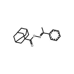 C/C(=N\OC(=O)C12CC3CC(CC(C3)C1)C2)c1ccccc1